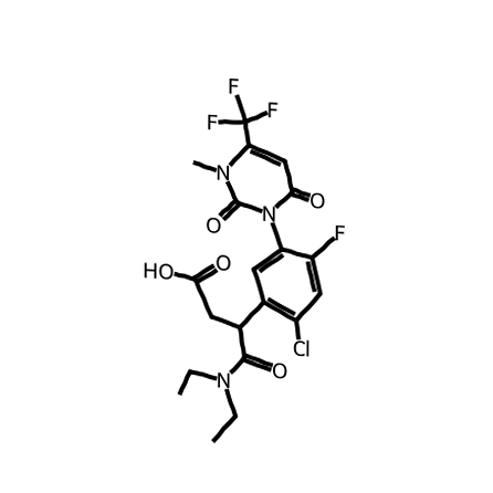 CCN(CC)C(=O)C(CC(=O)O)c1cc(-n2c(=O)cc(C(F)(F)F)n(C)c2=O)c(F)cc1Cl